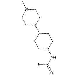 CN1CCC(C2CCC(NC(=O)I)CC2)CC1